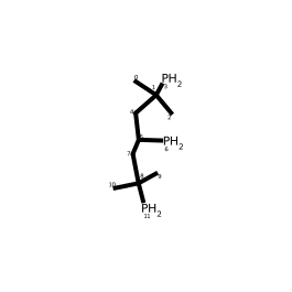 CC(C)(P)CC(P)CC(C)(C)P